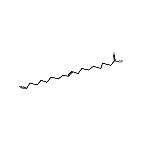 O=CCCCCCCCC=CCCCCCCCC(=O)O